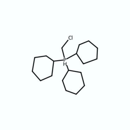 ClC[PH](C1CCCCC1)(C1CCCCC1)C1CCCCC1